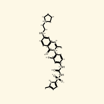 Cc1ccc(S(=O)(=O)NC(=O)Nc2ccc(-n3c(C)nc4cc(NCCN5CCCC5)ccc4c3=O)c(F)c2)s1